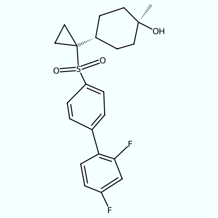 C[C@]1(O)CC[C@H](C2(S(=O)(=O)c3ccc(-c4ccc(F)cc4F)cc3)CC2)CC1